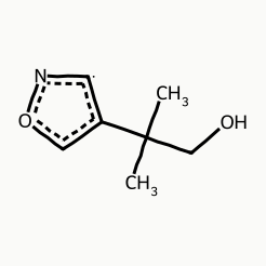 CC(C)(CO)c1[c]noc1